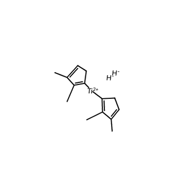 CC1=CC[C]([Ti+2][C]2=C(C)C(C)=CC2)=C1C.[H-].[H-]